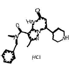 Cc1nn2c(C3CCNCC3)cc(=O)[nH]c2c1C(=O)N(C)Cc1ccccc1.Cl